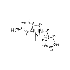 Oc1ccc2c(c1)NN(Cc1ccccc1)C2